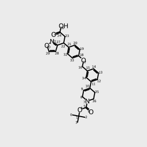 CC(C)(C)OC(=O)N1CC=C(c2cccc(COc3ccc(C(CC(=O)O)c4ccon4)cc3)c2)CC1